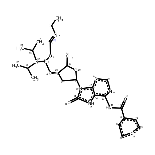 CC/N=C/OP(O[C@@H]1CC(n2c(=O)[nH]c3c(NC(=O)c4ccccc4)ncnc32)OC1C)N(C(C)C)C(C)C